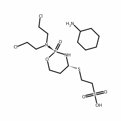 NC1CCCCC1.O=[P@]1(N(CCCl)CCCl)N[C@H](SCCS(=O)(=O)O)CCO1